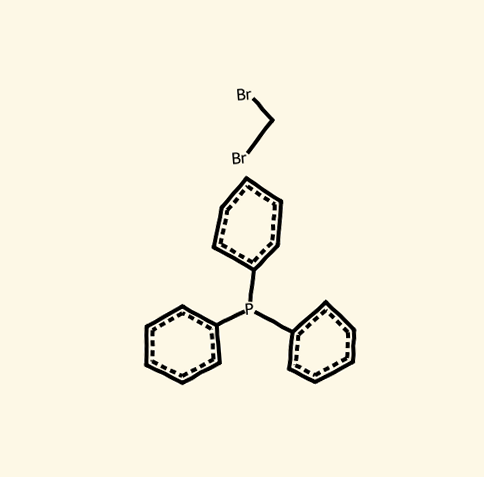 BrCBr.c1ccc(P(c2ccccc2)c2ccccc2)cc1